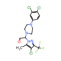 Cc1c(Cl)c(C(F)(F)F)nn1C(C=O)N1CCN(c2ccc(Cl)c(Cl)c2)CC1